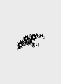 C=Cc1ccc(N2c3cccc(-c4nc5ccc(F)cc5[nH]4)c3OC[C@@H]2CO)nc1